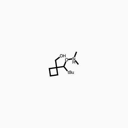 C[SiH](C)OC(C(C)(C)C)C1(CO)CCC1